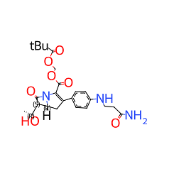 C[C@@H](O)[C@H]1C(=O)N2C(C(=O)OCOC(=O)C(C)(C)C)=C(c3ccc(NCCC(N)=O)cc3)C[C@H]12